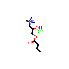 CC=CC(=O)OCC(O)C[N+](C)(C)C.[Cl-]